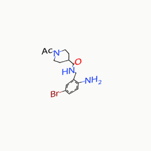 CC(=O)N1CCC(C(=O)NCc2cc(Br)ccc2N)CC1